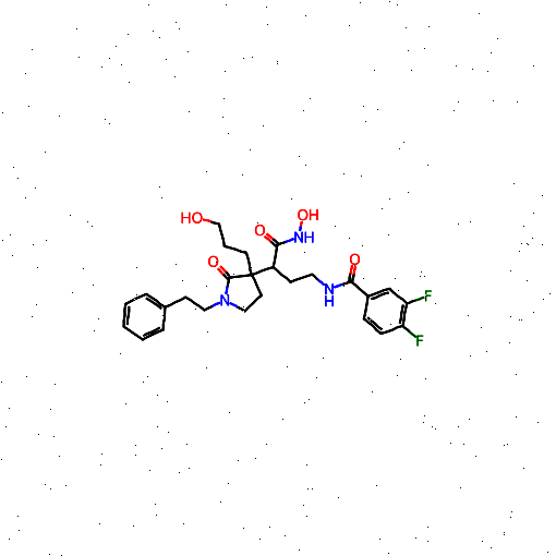 O=C(NCCC(C(=O)NO)C1(CCCO)CCN(CCc2ccccc2)C1=O)c1ccc(F)c(F)c1